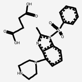 Cc1nc2c(N3CCNCC3)cccc2n1S(=O)(=O)c1ccccc1.O=C(O)CCC(=O)O